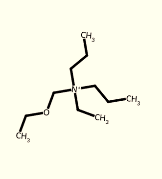 CCC[N+](CC)(CCC)COCC